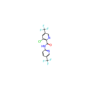 O=C(Nc1ccc(C(F)(F)F)cn1)c1ncc(C(F)(F)F)cc1Cl